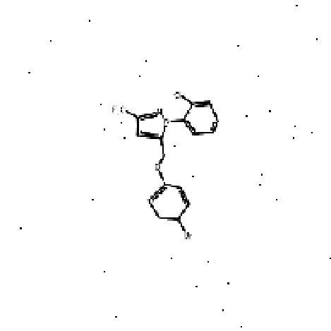 FC(F)(F)c1cc(COC2=CCC(Br)C=C2)n(-c2ccccc2Cl)n1